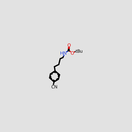 CC(C)(C)OC(=O)NCCCCc1ccc(C#N)cc1